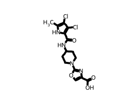 Cc1[nH]c(C(=O)NC2CCN(c3nc(C(=O)O)co3)CC2)c(Cl)c1Cl